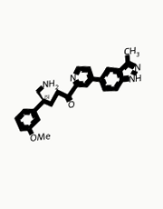 COc1cccc([C@@H](CN)CCC(=O)c2cc(-c3ccc4[nH]nc(C)c4c3)ccn2)c1